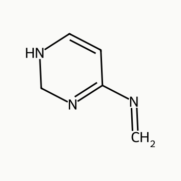 C=NC1=NCNC=C1